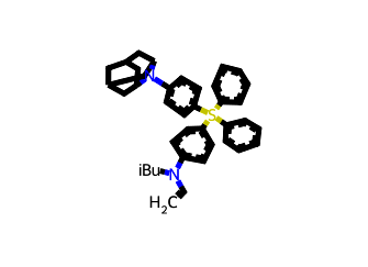 C=CN(c1ccc(S(c2ccccc2)(c2ccccc2)c2ccc(N3C4CC5CC(C4)CC3C5)cc2)cc1)C(C)CC